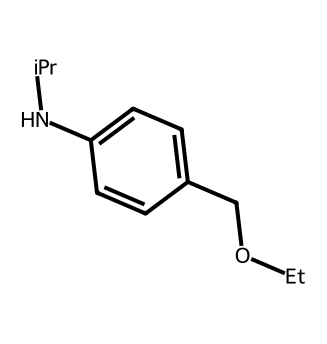 CCOCc1ccc(NC(C)C)cc1